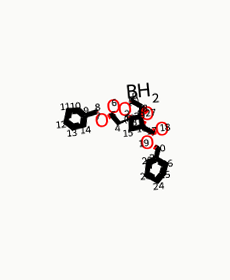 B[C@@H]1O[C@@]2(CC(=O)OCc3ccccc3)CC3(C(=O)OCc4ccccc4)OC1C32